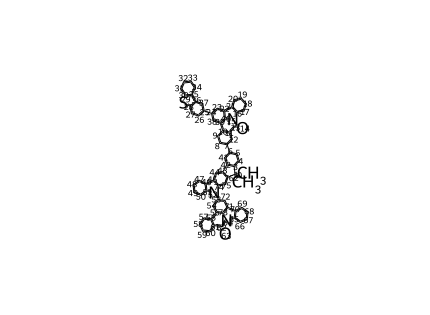 CC1(C)c2ccc(-c3ccc4c(c3)c(=O)n3c5ccccc5c5cc(-c6ccc7sc8ccccc8c7c6)cc4c53)cc2-c2cc3c4ccccc4n(-c4cc5c6ccccc6c(=O)n6c7ccccc7c(c4)c56)c3cc21